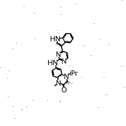 CC(C)N1c2cc(Nc3nccc(-c4c[nH]c5ccccc45)n3)ccc2N(C)C(=O)[C@H]1C